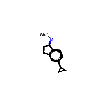 CON=C1CCc2cc(C3CC3)ccc21